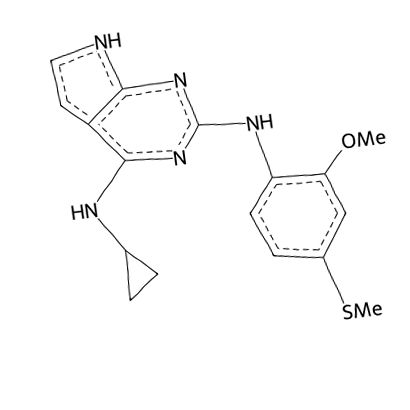 COc1cc(SC)ccc1Nc1nc(NC2CC2)c2cc[nH]c2n1